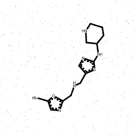 CC(C)(C)c1cnc(CNCc2cnc(NC3CCCNC3)s2)o1